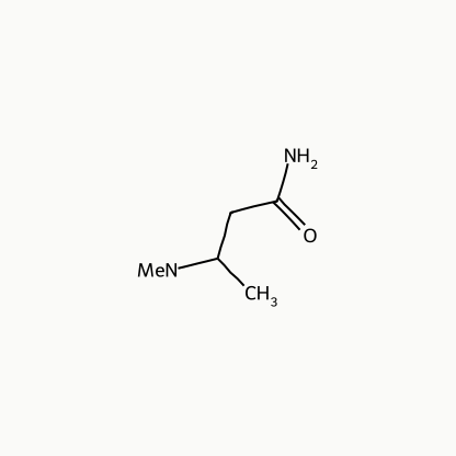 CNC(C)CC(N)=O